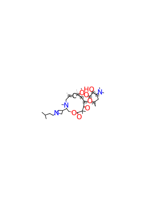 CO[C@]1(C)C[C@@H](C)CN(C)C(C2CN(CCC(C)C)C2)COC(=O)C(C)(C)C(=O)[C@H](C)[C@H]1O[C@@H]1O[C@H](C)C[C@H](N(C)C)[C@H]1O